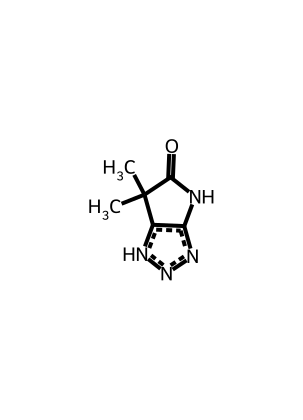 CC1(C)C(=O)Nc2nn[nH]c21